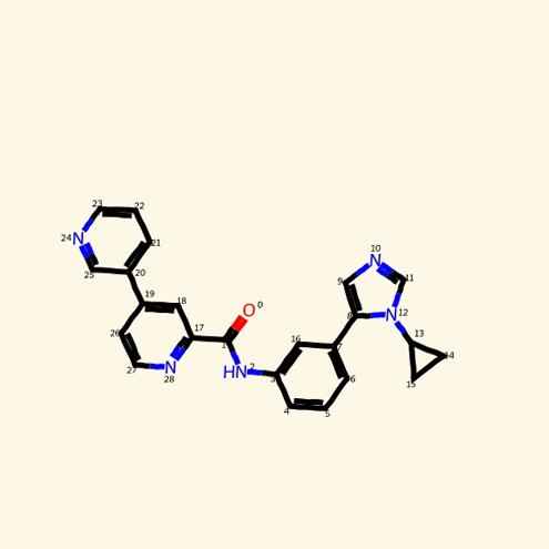 O=C(Nc1cccc(-c2cncn2C2CC2)c1)c1cc(-c2cccnc2)ccn1